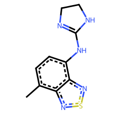 Cc1ccc(NC2=NCCN2)c2nsnc12